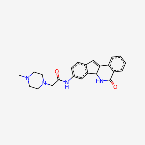 CN1CCN(CC(=O)Nc2ccc3c(c2)C2NC(=O)c4ccccc4C2=C3)CC1